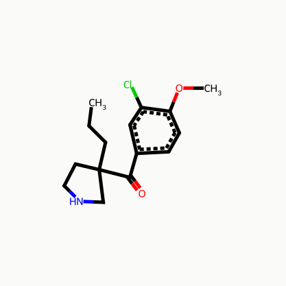 CCCC1(C(=O)c2ccc(OC)c(Cl)c2)CCNC1